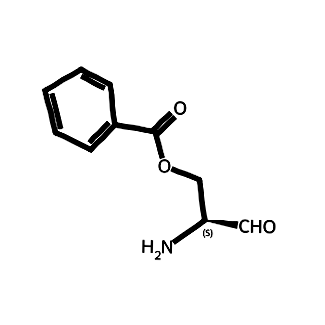 N[C@H](C=O)COC(=O)c1ccccc1